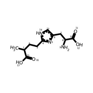 CC(CCc1nc(CC(N)C(=O)O)c[nH]1)C(=O)O